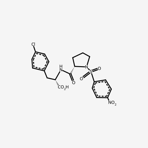 O=C(O)[C@H](Cc1ccc(Cl)cc1)NC(=O)[C@@H]1CCCN1S(=O)(=O)c1ccc([N+](=O)[O-])cc1